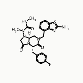 CNC(=O)N(C)N1CC(=O)N2[C@@H](Cc3ccc(F)cc3)C(=O)N(Cc3cccc4sc(N)nc34)C[C@@H]21